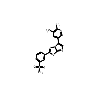 CS(=O)(=O)c1cccc(-c2nn3c(-c4cnc(N)c(C(F)(F)F)c4)cnc3s2)c1